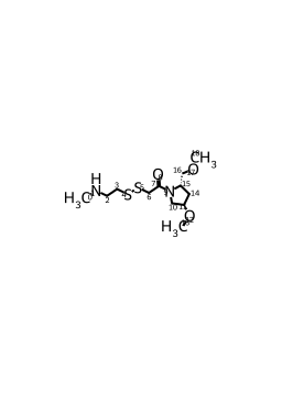 CNCCSSCC(=O)N1C[C@H](OC)C[C@H]1COC